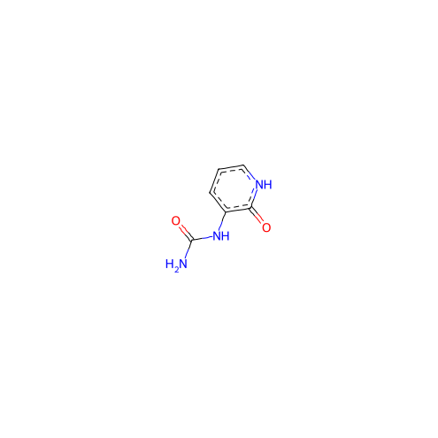 NC(=O)Nc1ccc[nH]c1=O